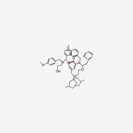 COc1ccc(CN(CCOC(c2ccco2)N(CCO)Cc2ccc(OC)cc2)C(Cc2ccccc2)OCCN(Cc2ccc(OC)cc2)C23CC(C)CC(CC(C)C2)C3)cc1